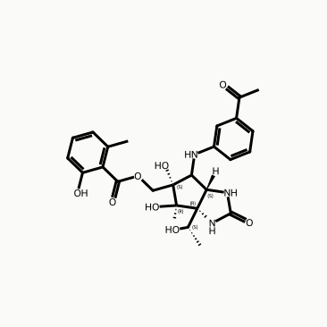 CC(=O)c1cccc(NC2[C@@H]3NC(=O)N[C@]3([C@H](C)O)[C@@](C)(O)[C@@]2(O)COC(=O)c2c(C)cccc2O)c1